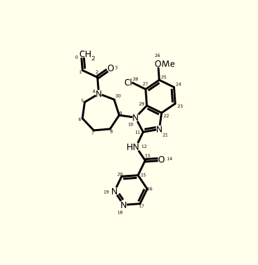 C=CC(=O)N1CCCCC(n2c(NC(=O)c3ccnnc3)nc3ccc(OC)c(Cl)c32)C1